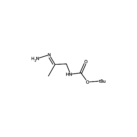 C/C(CNC(=O)OC(C)(C)C)=N\N